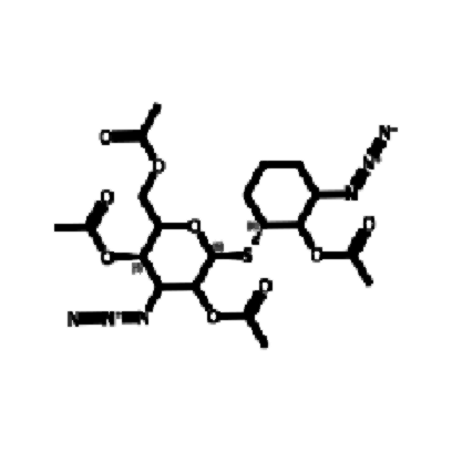 CC(=O)OCC1O[C@@H](S[C@@H]2CCCC(N=[N+]=[N-])C2OC(C)=O)C(OC(C)=O)C(N=[N+]=[N-])[C@H]1OC(C)=O